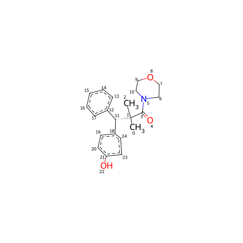 CC(C)(C(=O)N1CCOCC1)[C@@H](c1ccccc1)c1ccc(O)cc1